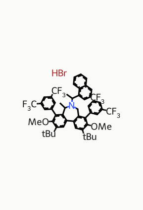 Br.COc1c(C(C)(C)C)cc2c(c1-c1cc(C(F)(F)F)cc(C(F)(F)F)c1)CN(C(C)c1cccc3ccccc13)C(C)c1c-2cc(C(C)(C)C)c(OC)c1-c1cc(C(F)(F)F)cc(C(F)(F)F)c1